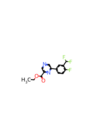 CCOC(=O)c1cncc(-c2ccc(F)c(C(F)F)c2)n1